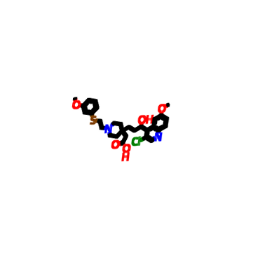 COc1cccc(SCCN2CCC(CCC(O)c3c(Cl)cnc4ccc(OC)cc34)(CC(=O)O)CC2)c1